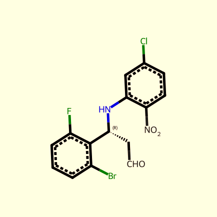 O=CC[C@@H](Nc1cc(Cl)ccc1[N+](=O)[O-])c1c(F)cccc1Br